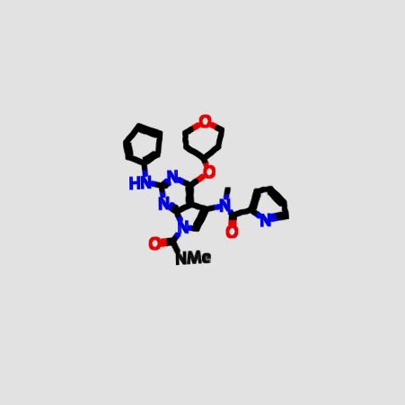 CNC(=O)n1cc(N(C)C(=O)c2ccccn2)c2c(OC3CCOCC3)nc(Nc3ccccc3)nc21